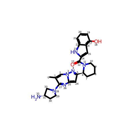 Cc1cn2nc([C@@H]3CCCCN3C(=O)c3cc4c(O)cccc4[nH]3)cc2nc1N1CC[C@H](N)C1